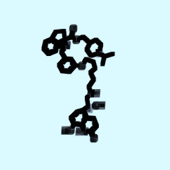 CC(C)N1CCC(COC(=O)C2(NCc3cccc(OCCCCCCNC[C@H](O)c4ccc(O)c5[nH]c(=O)ccc45)c3)CCc3ccccc32)CC1